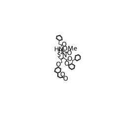 CO[C@@]1(NC(=O)Cc2ccccc2)C(=O)N2C(C(=O)OC(c3ccccc3)c3ccccc3)=C(COc3ccc4ccc(=O)oc4c3)CS[C@@H]21